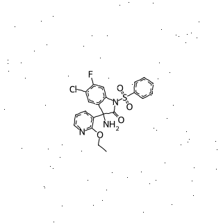 CCOc1ncccc1C1(N)C(=O)N(S(=O)(=O)c2ccccc2)c2cc(F)c(Cl)cc21